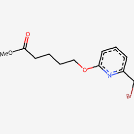 COC(=O)CCCCOc1cccc(CBr)n1